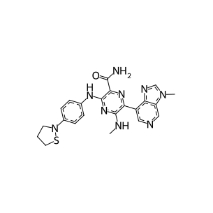 CNc1nc(Nc2ccc(N3CCCS3)cc2)c(C(N)=O)nc1-c1cncc2c1ncn2C